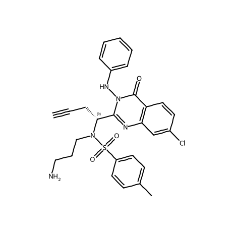 C#CC[C@H](c1nc2cc(Cl)ccc2c(=O)n1Nc1ccccc1)N(CCCN)S(=O)(=O)c1ccc(C)cc1